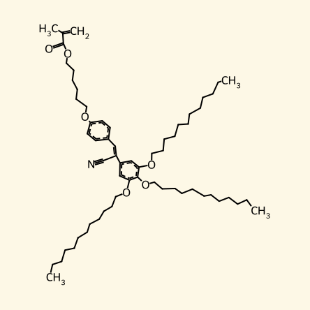 C=C(C)C(=O)OCCCCCCOc1ccc(C=C(C#N)c2cc(OCCCCCCCCCCCC)c(OCCCCCCCCCCCC)c(OCCCCCCCCCCCC)c2)cc1